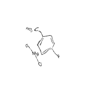 O=C(O)c1ccc(F)cc1.[Cl][Mg][Cl]